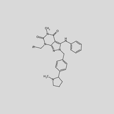 CC(C)Cn1c(=O)n(C)c(=O)c2c(Nc3ccccc3)n(Cc3ccc(C4CCCN4C)cc3)nc21